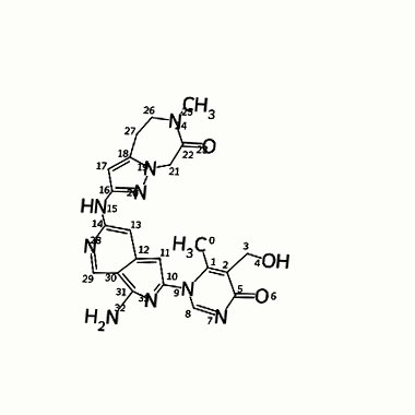 Cc1c(CO)c(=O)ncn1-c1cc2cc(Nc3cc4n(n3)CC(=O)N(C)CC4)ncc2c(N)n1